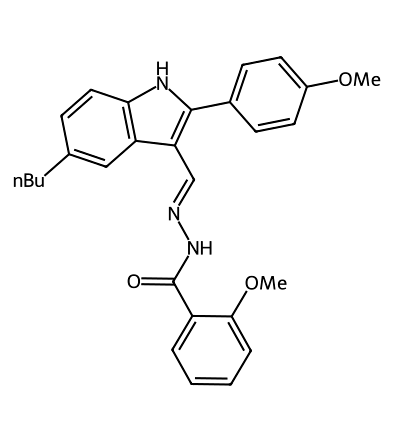 CCCCc1ccc2[nH]c(-c3ccc(OC)cc3)c(C=NNC(=O)c3ccccc3OC)c2c1